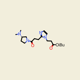 CC(C)COC(=O)CCn1ccnc1CCC(=O)N1CC[C@H](N(C)C)C1